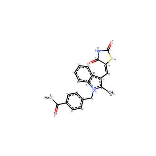 COC(=O)c1ccc(Cn2c(C)c(/C=C3/SC(=O)NC3=O)c3ccccc32)cc1